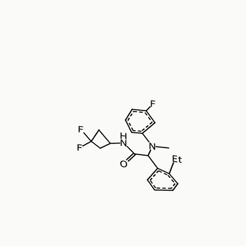 CCc1ccccc1C(C(=O)NC1CC(F)(F)C1)N(C)c1cccc(F)c1